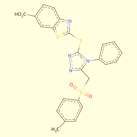 Cc1ccc(S(=O)(=O)Cc2nnc(Sc3nc4ccc(C(=O)O)cc4s3)n2-c2ccccc2)cc1